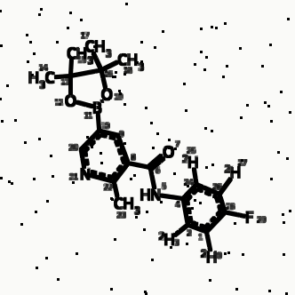 [2H]c1c([2H])c(NC(=O)c2cc(B3OC(C)(C)C(C)(C)O3)cnc2C)c([2H])c([2H])c1F